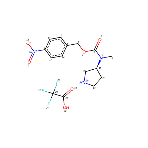 CN(C(=O)OCc1ccc([N+](=O)[O-])cc1)[C@H]1CCNC1.O=C(O)C(F)(F)F